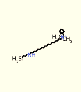 C[N+](C)(CCCCCCCCCCCCCCCCCCNCCC[SiH3])Cc1ccccc1